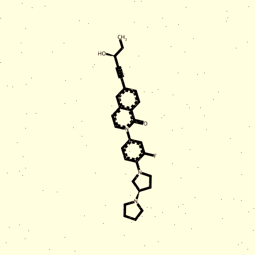 CC[C@H](O)C#Cc1ccc2c(=O)n(-c3ccc(N4CC[C@@H](N5CCCC5)C4)c(F)c3)ccc2c1